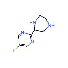 Fc1cnc(C2CNCCN2)nc1